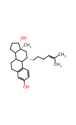 CC(C)=CCCC[C@H]1C[C@@]2(C)C(CC[C@@H]2O)C2CCc3cc(O)ccc3C21